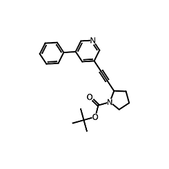 CC(C)(C)OC(=O)N1CCCC1C#Cc1cncc(-c2ccccc2)c1